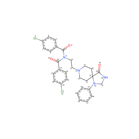 O=C(c1ccc(Cl)cc1)N(CCN1CCC2(CC1)C(=O)NCN2c1ccccc1)C(=O)c1ccc(Cl)cc1